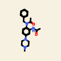 CC(=O)Nc1cc(N2CCN(C)CC2)ccc1N(Cc1ccccc1)C(C)=O